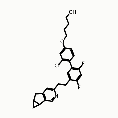 OCCCCOc1ccc(-c2cc(CCc3cc4c(cn3)C3CC3C4)c(F)cc2F)c(Cl)c1